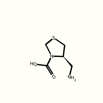 NC[C@@H]1CSCN1C(=O)O